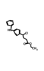 CCOC(=O)CCC(Cl)c1ccc(Nc2ccccc2)cc1